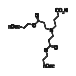 CCCCCCCCCCCCOC(=O)CCN(CCCC(=O)O)CCC(=O)OCCCCCCCCCCCC